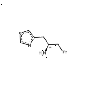 CC(C)C[C@@H](N)Cc1cscn1